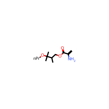 C=C(N)C(=O)OCC(C)C(C)(C)OCCC